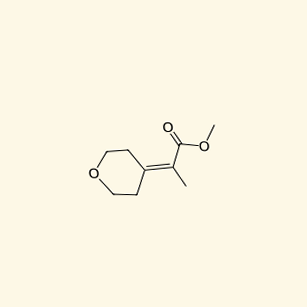 COC(=O)C(C)=C1CCOCC1